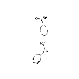 O=C(O)[C@H]1CC[C@H](CNC2CC2c2ccccc2)CC1